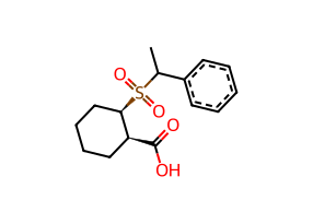 CC(c1ccccc1)S(=O)(=O)[C@@H]1CCCC[C@@H]1C(=O)O